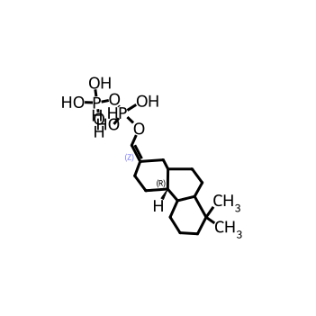 CC1(C)CCCC2C1CCC1C/C(=C\O[PH](O)(O)O[PH](O)(O)O)CC[C@H]12